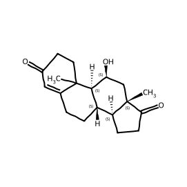 CC12CCC(=O)C=C1CC[C@@H]1[C@@H]2[C@@H](O)C[C@]2(C)C(=O)CC[C@@H]12